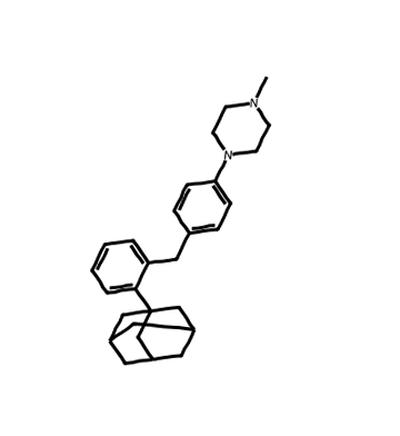 CN1CCN(c2ccc(Cc3ccccc3C34CC5CC(CC(C5)C3)C4)cc2)CC1